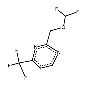 FC(F)OCc1nc[c]c(C(F)(F)F)n1